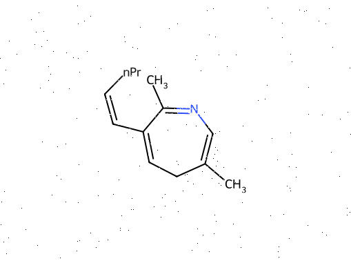 CCC/C=C\C1=CCC(C)=CN=C1C